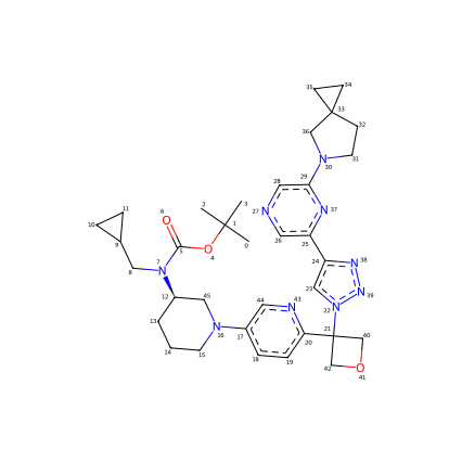 CC(C)(C)OC(=O)N(CC1CC1)[C@@H]1CCCN(c2ccc(C3(n4cc(-c5cncc(N6CCC7(CC7)C6)n5)nn4)COC3)nc2)C1